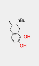 CCCC[C@@H]1Cc2c(ccc(O)c2O)C[C@H]1C